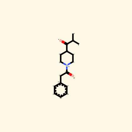 CC(C)C(=O)C1CCN(C(=O)Cc2ccccc2)CC1